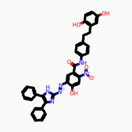 O=C(Nc1ccc(CCc2cc(O)ccc2O)cc1)c1cc(/N=N/c2nc(-c3ccccc3)c(-c3ccccc3)[nH]2)c(O)cc1[N+](=O)[O-]